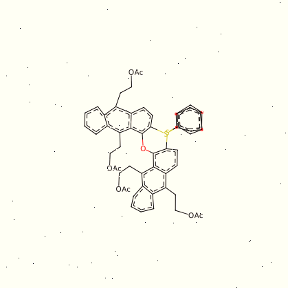 CC(=O)OCCc1c2ccccc2c(CCOC(C)=O)c2c(Oc3c(Sc4ccccc4)ccc4c(CCOC(C)=O)c5ccccc5c(CCOC(C)=O)c34)c(Sc3ccccc3)ccc12